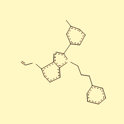 Cc1cccc(-c2nc3c(NC=O)cccc3n2CCCc2ccccc2)c1